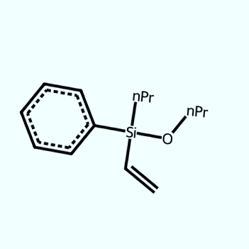 C=C[Si](CCC)(OCCC)c1ccccc1